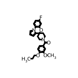 CCCOc1ccc(C(=O)N2CCC3(CC2)Oc2cc(F)ccc2-n2cccc23)cc1OC